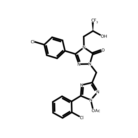 CC(=O)On1nc(Cn2nc(-c3ccc(Cl)cc3)n(C[C@H](O)C(F)(F)F)c2=O)nc1-c1ccccc1Cl